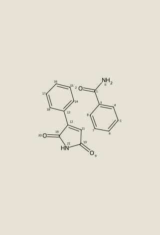 NC(=O)c1ccccc1.O=C1C=C(c2ccccc2)C(=O)N1